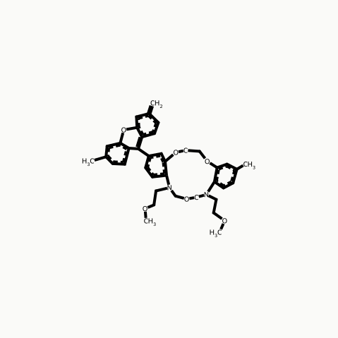 C=c1ccc2c(c1)Oc1cc(C)ccc1C=2c1ccc2c(c1)OCCOc1cc(C)ccc1N(CCOC)COCN2CCOC